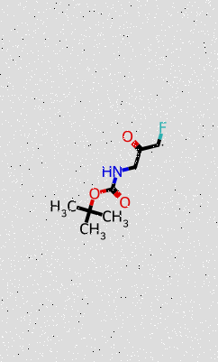 CC(C)(C)OC(=O)NCC(=O)[CH]F